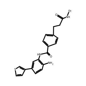 CCNC(=O)[CH]Cc1ccc(C(=O)Nc2cc(-c3ccsc3)ccc2N)cc1